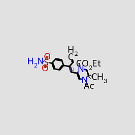 C=C/C(=C\C1=CN(C(C)=O)[C@@H](C)CN1C(=O)OCC)c1ccc(S(N)(=O)=O)cc1